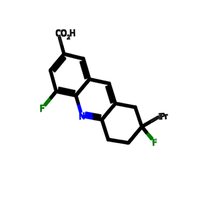 CC(C)C1(F)CCc2nc3c(F)cc(C(=O)O)cc3cc2C1